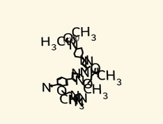 COCCC(C)Oc1nn(C2CCC(N3C[C@@H](C)O[C@@H](C)C3)CC2)cc1Nc1ncc(-c2ccc(C#N)c(OC(C)Cn3cnnn3)c2)cn1